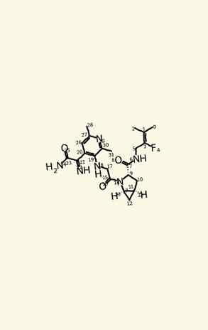 CC(C)=C(F)CNC(=O)[C@@H]1C[C@H]2C[C@H]2N1C(=O)CNc1c(C(=N)C(N)=O)cc(C)nc1C